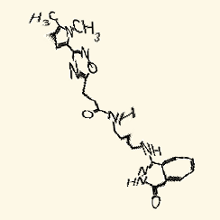 Cc1ccc(-c2noc(CCC(=O)NCCCNc3n[nH]c(=O)c4ccccc34)n2)n1C